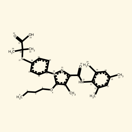 CCCCOc1c(C)c(C(=O)Nc2c(C)cc(C)cc2C)nn1-c1ccc(SC(C)(C)C(=O)O)cc1